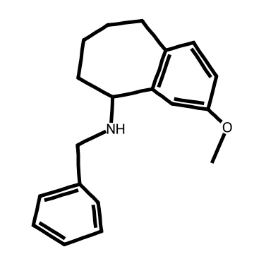 COc1ccc2c(c1)C(NCc1ccccc1)CCCC2